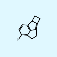 [Ir][c]1ccc2c3c1CCC3=C1CCC12